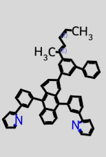 C/C=C\C=C(/C)c1cc(-c2ccccc2)cc(-c2ccc3c(-c4cccc(-c5ccccn5)c4)c4ccccc4c(-c4cccc(-c5ccccn5)c4)c3c2)c1